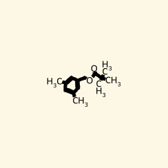 Cc1cc(C)cc(COC(=O)C(C)(C)C)c1